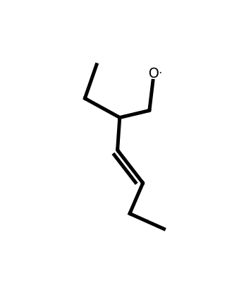 CCC=CC(CC)C[O]